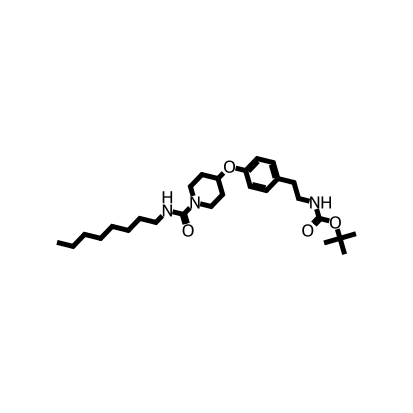 CCCCCCCCNC(=O)N1CCC(Oc2ccc(CCNC(=O)OC(C)(C)C)cc2)CC1